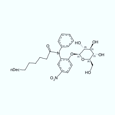 CCCCCCCCCCCCCCCC(=O)N(c1ccccc1)c1cc([N+](=O)[O-])ccc1O[C@@H]1O[C@H](CO)[C@@H](O)[C@H](O)[C@H]1O